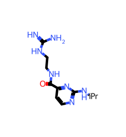 CC(C)Nc1nccc(C(=O)NCCNC(=N)N)n1